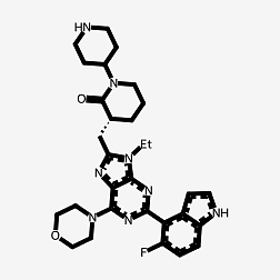 CCn1c(C[C@H]2CCCN(C3CCNCC3)C2=O)nc2c(N3CCOCC3)nc(-c3c(F)ccc4[nH]ccc34)nc21